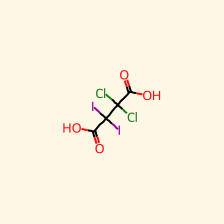 O=C(O)C(Cl)(Cl)C(I)(I)C(=O)O